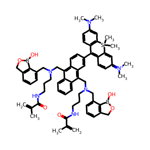 C=C(C)C(=O)NCCCN(Cc1cccc2c1B(O)OC2)Cc1c2ccccc2c(CN(CCCNC(=O)C(=C)C)Cc2cccc3c2B(O)OC3)c2cc(C3=C4C=CC(=[N+](C)C)C=C4[Si](C)(C)c4cc(N(C)C)ccc43)ccc12